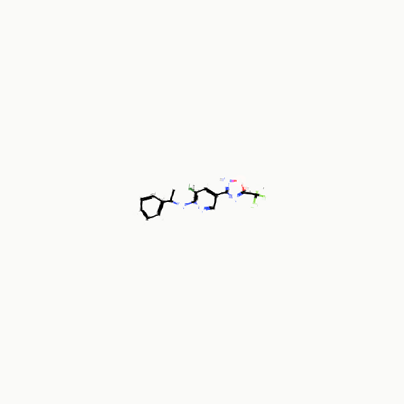 CC(Nc1ncc(-c2noc(C(F)(F)F)n2)cc1Cl)c1ccccc1